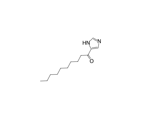 CCCCCCCCCC(=O)c1cnc[nH]1